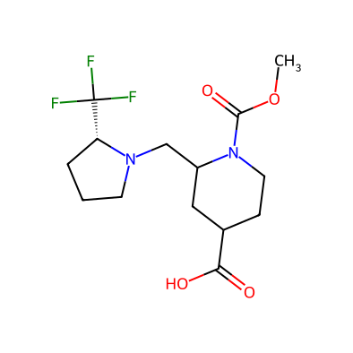 COC(=O)N1CCC(C(=O)O)CC1CN1CCC[C@@H]1C(F)(F)F